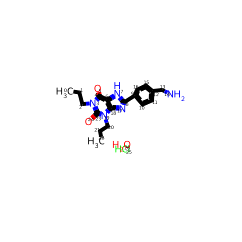 CCCn1c(=O)c2[nH]c(-c3ccc(CN)cc3)nc2n(CCC)c1=O.Cl.O